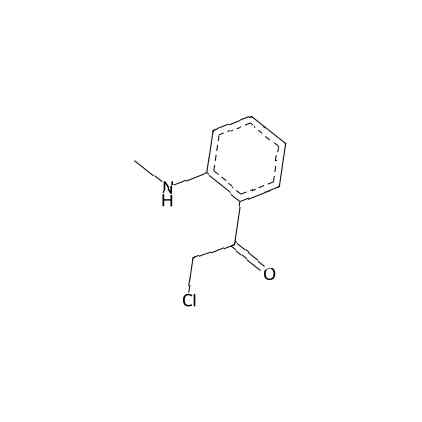 CNc1ccccc1C(=O)CCl